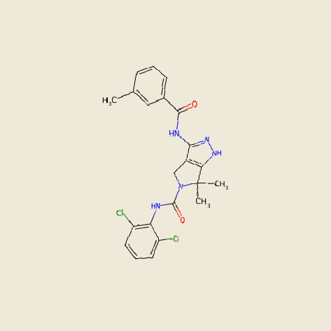 Cc1cccc(C(=O)Nc2n[nH]c3c2CN(C(=O)Nc2c(Cl)cccc2Cl)C3(C)C)c1